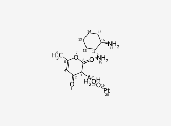 CC(=O)C1C(=O)C=C(C)OC1=O.N[C@@H]1CCCC[C@H]1N.O.[OH][Pt]